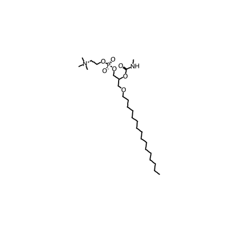 CCCCCCCCCCCCCCCCOCC(COP(=O)([O-])OCC[N+](C)(C)C)OC(=O)NC